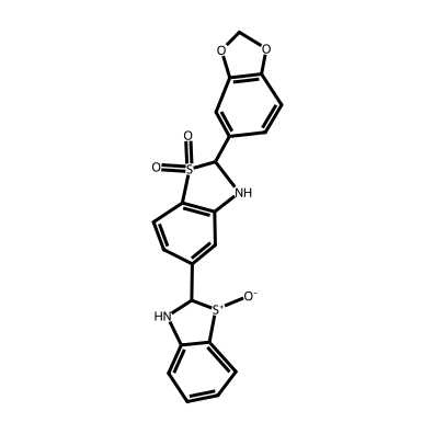 O=S1(=O)c2ccc(C3Nc4ccccc4[S+]3[O-])cc2NC1c1ccc2c(c1)OCO2